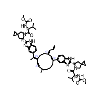 C=C/C=C1\C=C(\c2ccc3[nH]c([C@@H]4CC5(CC5)CN4C(=O)[C@@H](NC(=O)OC)C(C)C)nc3c2)CCC[C@@H](C)/C=C\C(=C(/C)c2ccc3[nH]c([C@@H]4CC5(CC5)CN4C(=O)[C@@H](NC(=O)OC)C(C)C)nc3c2)CC1